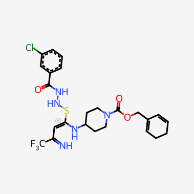 N=C(/C=C(\NC1CCN(C(=O)OCC2=CCCC=C2)CC1)SNNC(=O)c1cccc(Cl)c1)C(F)(F)F